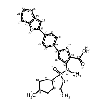 CCOP(=O)(C1CCC(C)CC1)N(C)c1cc(-c2ccc(-c3cc4ncccc4o3)cc2)sc1C(=O)O